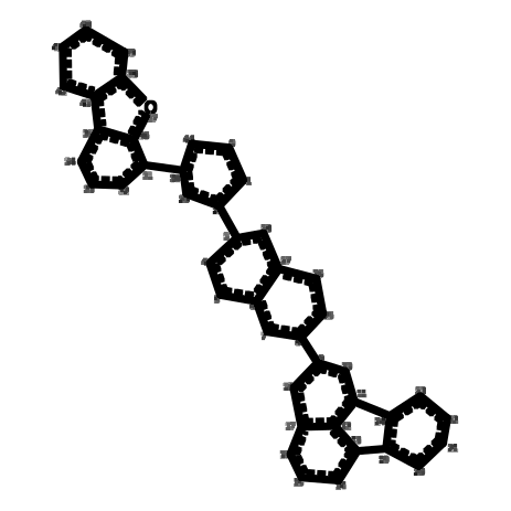 c1cc(-c2ccc3cc(-c4cc5c6c(cccc6c4)-c4ccccc4-5)ccc3c2)cc(-c2cccc3c2oc2ccccc23)c1